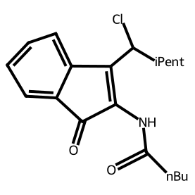 CCCCC(=O)NC1=C(C(Cl)C(C)CCC)c2ccccc2C1=O